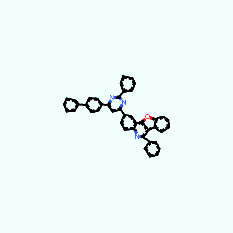 c1ccc(-c2ccc(-c3cc(-c4ccc5nc(-c6ccccc6)c6c7ccccc7oc6c5c4)nc(-c4ccccc4)n3)cc2)cc1